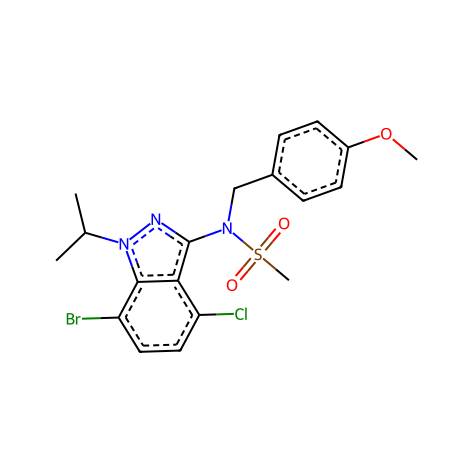 COc1ccc(CN(c2nn(C(C)C)c3c(Br)ccc(Cl)c23)S(C)(=O)=O)cc1